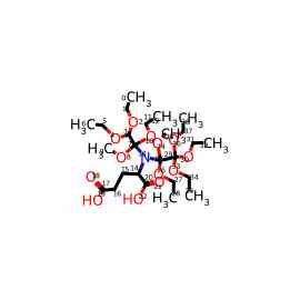 CCOC(OCC)C(OC)(OCC)N(C(CCC(=O)O)C(=O)O)C(OC)(OCC)C(OCC)(OCC)OCC